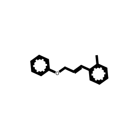 Cc1ccccc1C=CCOc1ccccc1